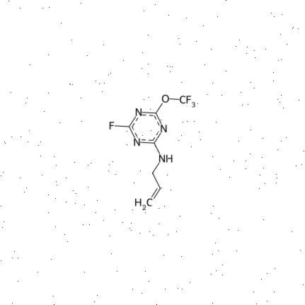 C=CCNc1nc(F)nc(OC(F)(F)F)n1